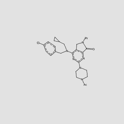 CC(=O)N1CCN(c2nc3c(c(N(Cc4ccc(Cl)cc4)CC4CC4)n2)CN(C(C)C)C3=O)CC1